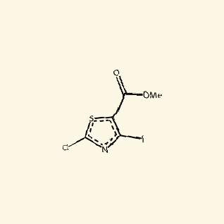 COC(=O)c1sc(Cl)nc1I